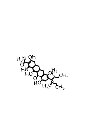 CCCC(c1cc(O)c2c(c1OC)CC1CC3CC(O)=C(C(N)=O)C(=N)C3C(O)=C1C2=O)N(C)CC